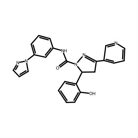 O=C(Nc1cccc(-n2cccn2)c1)N1N=C(c2cccnc2)CC1c1ccccc1O